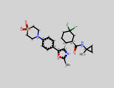 CC(C)(C)c1nc([C@@H]2CCC(F)(F)C[C@H]2C(=O)NC2(C#N)CC2)c(-c2ccc(N3CCS(=O)(=O)CC3)cc2)o1